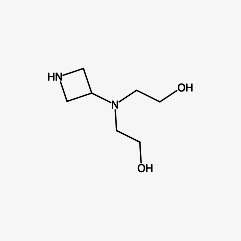 OCCN(CCO)C1CNC1